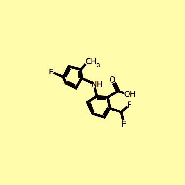 Cc1cc(F)ccc1Nc1cccc(C(F)F)c1C(=O)O